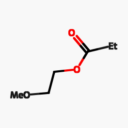 CCC(=O)OCCOC